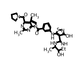 CCC(O)C(C)NC(=N)c1c(O)nsc1Nc1cccc(C(=O)n2cc(C)c3c(C(=O)N4CCCC4)nc(C)nc32)c1